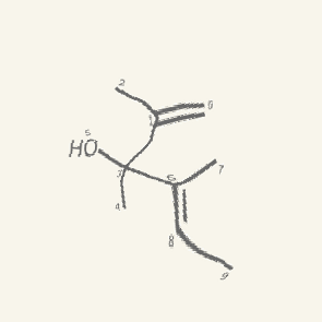 C=C(C)C(C)(O)/C(C)=C/C